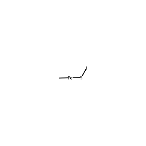 [CH3][Fe][S]I